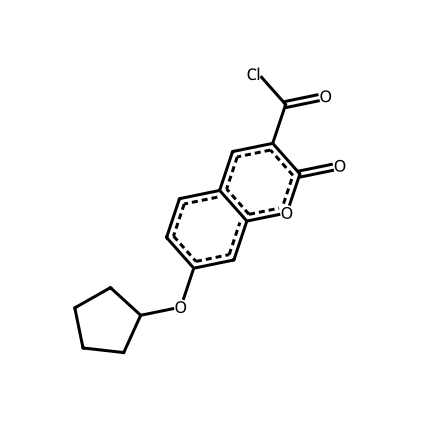 O=C(Cl)c1cc2ccc(OC3CCCC3)cc2oc1=O